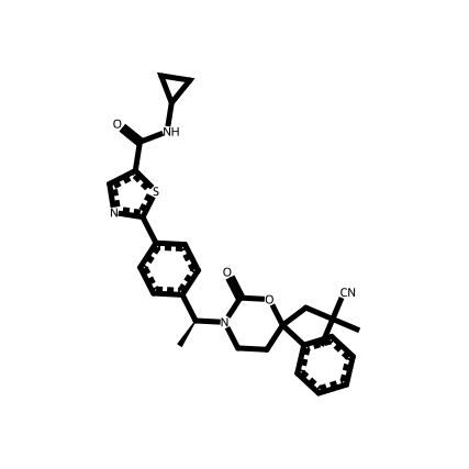 C[C@@H](c1ccc(-c2ncc(C(=O)NC3CC3)s2)cc1)N1CCC(CC(C)(C)C#N)(c2ccccc2)OC1=O